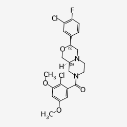 COc1cc(OC)c(Cl)c(C(=O)N2CCN3C[C@H](c4ccc(F)c(Cl)c4)OC[C@@H]3C2)c1